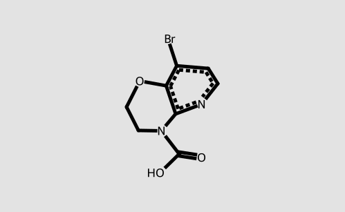 O=C(O)N1CCOc2c(Br)ccnc21